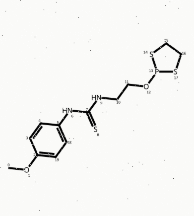 COc1ccc(NC(=S)NCCOP2SCCS2)cc1